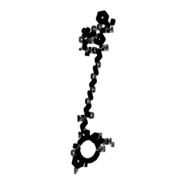 CC[C@H](NC(=O)[C@H]1C[C@@H](NC(=O)CCOCCOCCOCCOCCC(=O)NCCn2cc3c(n2)CN(C)C(=O)c2ccc(F)cc2[C@H](C)CCCNc2cc-3cnc2N)CN1C(=O)[C@H](NC(=O)[C@@H](C)NC)C(C)(C)C)c1ccccc1